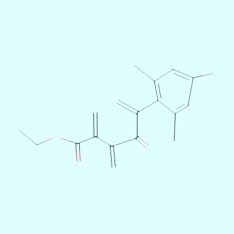 C=C(C(=C)C(=O)C(=C)c1c(C)cc(I)cc1C)C(=O)OCC